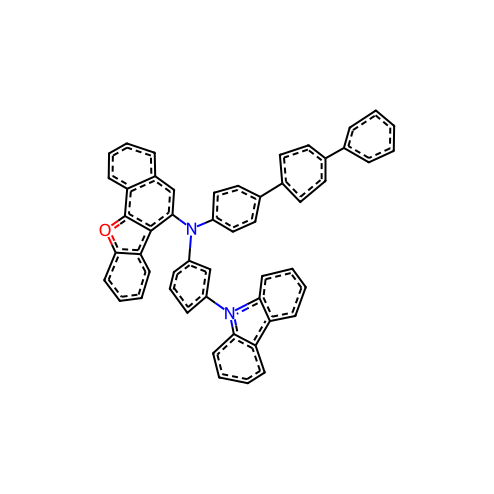 c1ccc(-c2ccc(-c3ccc(N(c4cccc(-n5c6ccccc6c6ccccc65)c4)c4cc5ccccc5c5oc6ccccc6c45)cc3)cc2)cc1